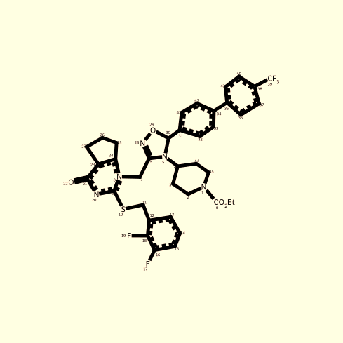 CCOC(=O)N1CCC(N2C(Cn3c(SCc4cccc(F)c4F)nc(=O)c4c3CCC4)=NOC2c2ccc(-c3ccc(C(F)(F)F)cc3)cc2)CC1